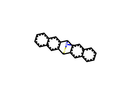 CN1SC2c3cc4ccccc4cc3C1c1cc3ccccc3cc12